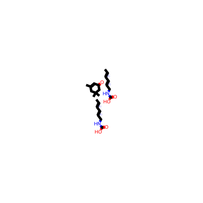 C/C=C/C=C/CNC(=O)O.C/C=C/C=C/CNC(=O)O.CC1=CC(=O)CC(C)(C)C1